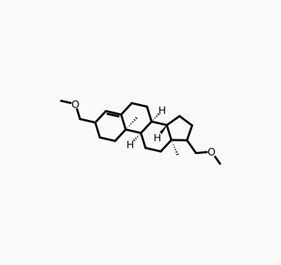 COCC1C=C2CC[C@@H]3[C@@H](CC[C@]4(C)C(COC)CC[C@@H]34)[C@@]2(C)CC1